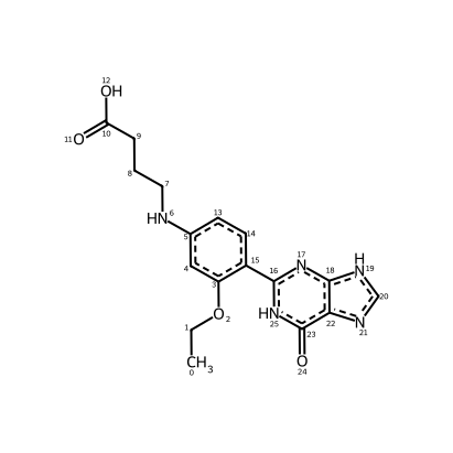 CCOc1cc(NCCCC(=O)O)ccc1-c1nc2[nH]cnc2c(=O)[nH]1